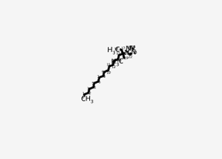 CCCCCCCCCCCCCCCCC(CC)(CC)n1cnnn1